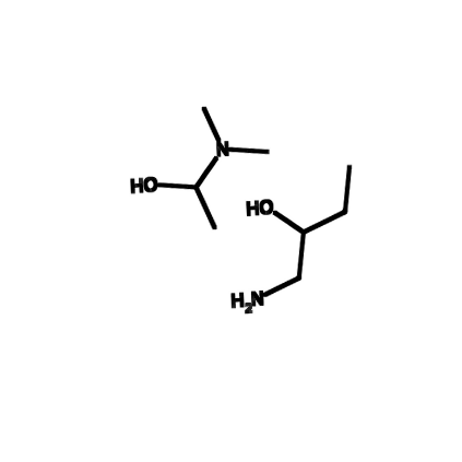 CC(O)N(C)C.CCC(O)CN